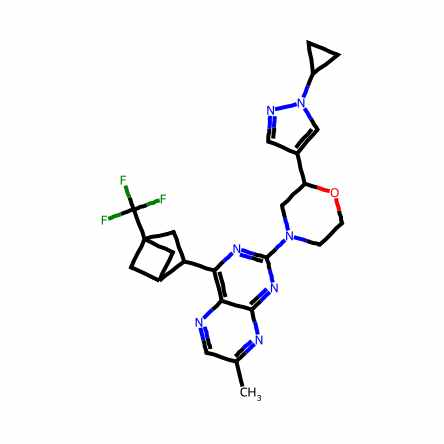 Cc1cnc2c(C3CC4(C(F)(F)F)CC3C4)nc(N3CCOC(c4cnn(C5CC5)c4)C3)nc2n1